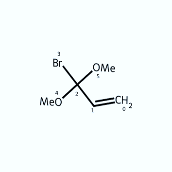 C=CC(Br)(OC)OC